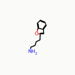 NCCCCc1cc2ccccc2o1